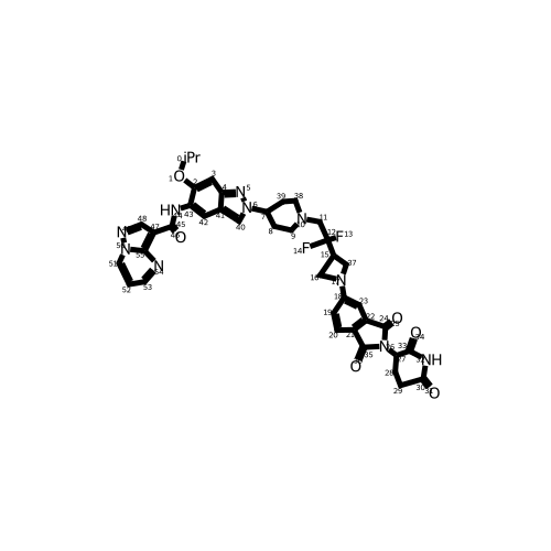 CC(C)Oc1cc2nn(C3CCN(CC(F)(F)C4CN(c5ccc6c(c5)C(=O)N(C5CCC(=O)NC5=O)C6=O)C4)CC3)cc2cc1NC(=O)c1cnn2cccnc12